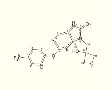 O=c1[nH]c2ccc(Oc3ccc(C(F)(F)F)cn3)cc2n1CC1(O)COC1